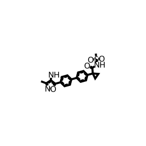 Cc1noc(-c2ccc(-c3ccc(C4(C(=O)NS(C)(=O)=O)CC4)cc3)cc2)c1N